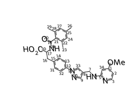 COc1ccnc(NCc2cnn(-c3ccc(CC(NC(=O)c4c(C)cc(C)cc4C)C(=O)O)cc3)c2)c1